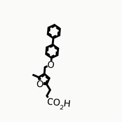 Cc1oc(CCC(=O)O)cc1COc1ccc(-c2ccccc2)cc1